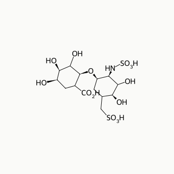 O=C(O)C1C[C@@H](O)[C@@H](O)C(O)[C@H]1O[C@@H]1CC(CS(=O)(=O)O)[C@H](O)C(O)[C@@H]1NS(=O)(=O)O